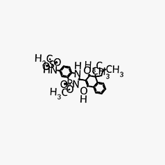 COP1(=O)N=C(C2=C(O)c3ccccc3C(C)(CC(C)C)C2=O)Nc2ccc(NS(C)(=O)=O)cc21